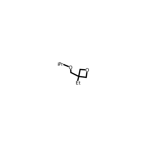 CCC1(COC(C)C)COC1